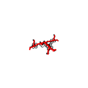 CC/C=C\CCCCOC(CCC(=O)OCCCCCCN(CCO)CCCN(CCCCCCOC(=O)CCC(OCCCC/C=C\CC)OCCCC/C=C\CC)CCCCCCOC(=O)CCC(OCCCC/C=C\CC)OCCCC/C=C\CC)OCCCC/C=C\CC